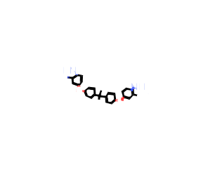 Cc1cc(Oc2ccc(C(C)(C)c3ccc(Oc4ccc(N)c(C)c4)cc3)cc2)ccc1N